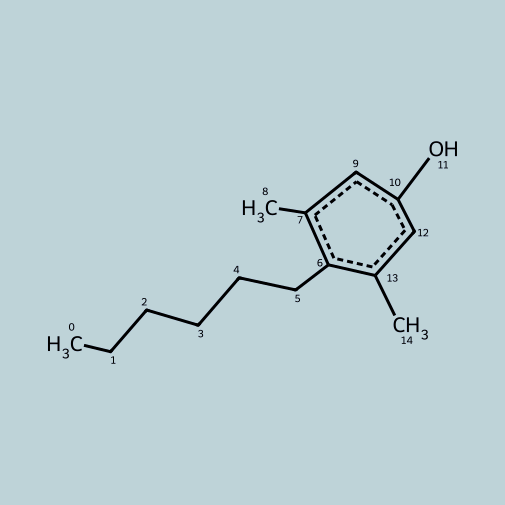 CCCCCCc1c(C)cc(O)cc1C